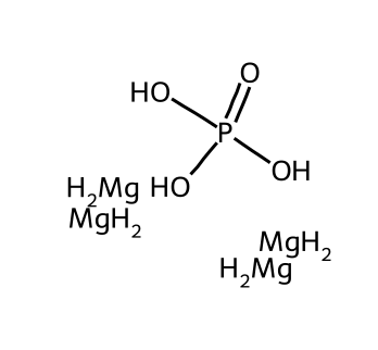 O=P(O)(O)O.[MgH2].[MgH2].[MgH2].[MgH2]